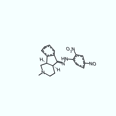 CN1CC[C@@H]2/C(=N/Nc3ccc(N=O)cc3[N+](=O)[O-])c3ccccc3[C@@H]2C1